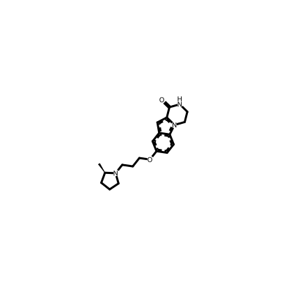 C[C@@H]1CCCN1CCCOc1ccc2c(c1)cc1n2CCNC1=O